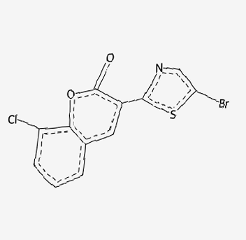 O=c1oc2c(Cl)cccc2cc1-c1ncc(Br)s1